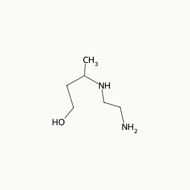 CC(CCO)NCCN